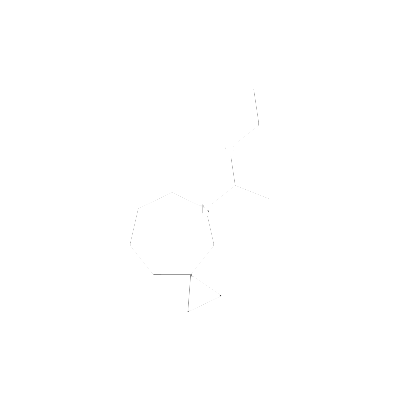 CCOC(C)N1CCCCC2(CC2)C1